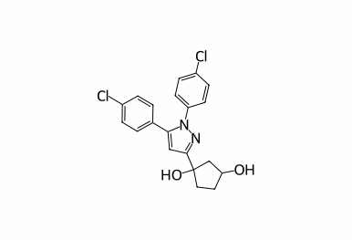 OC1CCC(O)(c2cc(-c3ccc(Cl)cc3)n(-c3ccc(Cl)cc3)n2)C1